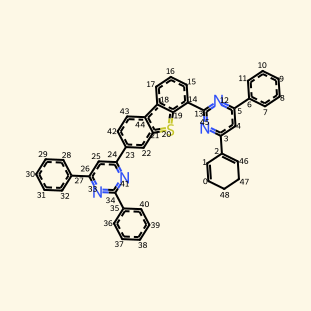 C1=CC(c2cc(-c3ccccc3)nc(-c3cccc4c3sc3cc(-c5cc(-c6ccccc6)nc(-c6ccccc6)n5)ccc34)n2)=CCC1